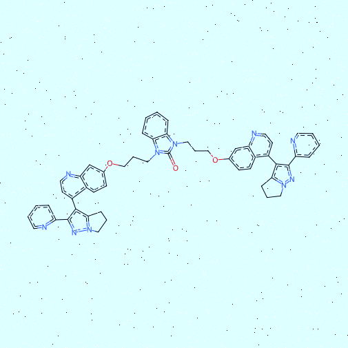 O=c1n(CCCOc2ccc3c(-c4c(-c5ccccn5)nn5c4CCC5)ccnc3c2)c2ccccc2n1CCCOc1ccc2c(-c3c(-c4ccccn4)nn4c3CCC4)ccnc2c1